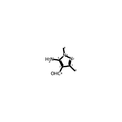 Cc1nn(C)c(N)c1C=O